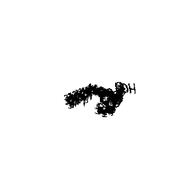 CC(C)(C)c1ccc(C(=O)N[C@@H](Cc2ccc(-c3ncc(-c4ccc(-c5ccc(C6CCCCC6)cc5)cc4F)cn3)cc2)C(=O)N2CC(C(=O)O)C2)s1